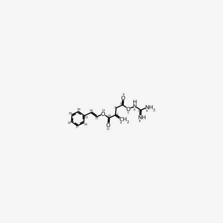 C=C(CC(=O)ONC(=N)N)C(=O)OC=Cc1ccccc1